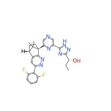 CC[C@@H](O)c1n[nH]c(-c2cncc([C@@]34CC[C@@H](c5cc(-c6c(F)cccc6F)nnc53)C4(C)C)n2)n1